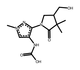 Cn1cc(NC(=O)O)c(N2CC(CO)C(C)(C)C2=O)n1